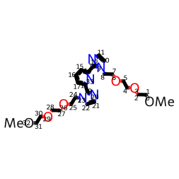 COCCOCCOCCn1ccnc1-c1cccc(-c2nccn2CCOCCOCCOC)n1